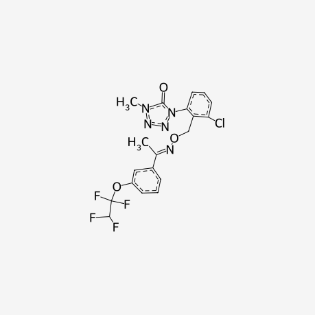 CC(=NOCc1c(Cl)cccc1-n1nnn(C)c1=O)c1cccc(OC(F)(F)C(F)F)c1